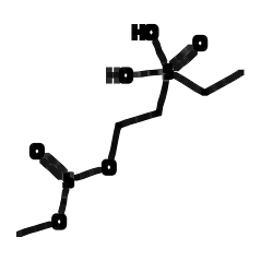 CCS(=O)(O)(O)CCOS(=O)OC